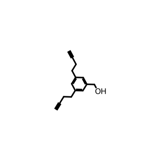 C#CCCc1cc(CO)cc(CCC#C)c1